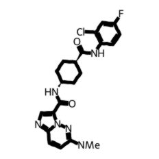 CNc1ccc2ncc(C(=O)N[C@H]3CC[C@H](C(=O)Nc4ccc(F)cc4Cl)CC3)n2n1